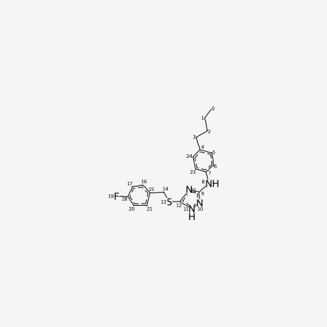 CCCCc1ccc(Nc2n[nH]c(SCc3ccc(F)cc3)n2)cc1